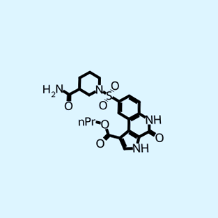 CCCOC(=O)c1c[nH]c2c(=O)[nH]c3ccc(S(=O)(=O)N4CCCC(C(N)=O)C4)cc3c12